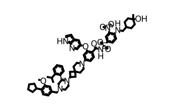 COc1cc(CN2CCN(C3CC4(CCN(c5ccc(C(=O)NS(=O)(=O)c6ccc(NCC7CCC(C)(O)CC7)c([N+](=O)[O-])c6)c(Oc6cnc7[nH]ccc7c6)c5)CC4)C3)[C@H](c3ccccc3C(C)C)C2)ccc1C1CCCC1